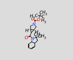 CC(C)(C)OC(=O)N1C[C@@H]2C(C(=O)N3C4C=CC=CC4CC3(C)C)[C@@H]2C1